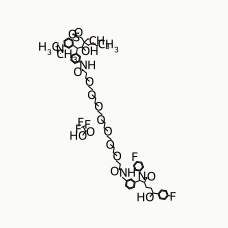 CCCCC1(CC)CS(=O)(=O)c2ccc(N(C)C)cc2C(c2cccc(NC(=O)CCOCCOCCOCCOCCOCCOCCOCCC(=O)NCc3cccc(C4C(CCC(O)c5ccc(F)cc5)C(=O)N4c4ccc(F)cc4)c3)c2)C1O.O=C(O)C(F)(F)F